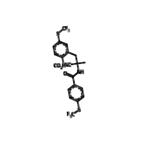 CC(C#N)(Cc1cc(SC(F)(F)F)ccc1C(=O)O)NC(=O)c1ccc(SC(F)(F)F)cc1